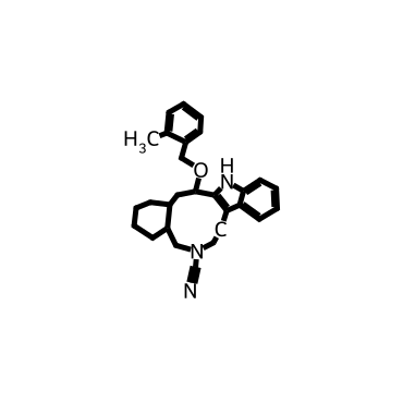 Cc1ccccc1COC1CC2CCCCC2CN(C#N)CCc2c1[nH]c1ccccc21